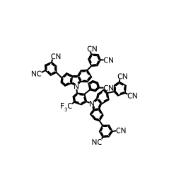 N#Cc1cc(C#N)cc(-c2ccc3c(c2)c2cc(-c4cc(C#N)cc(C#N)c4)ccc2n3-c2cc(C(F)(F)F)cc(-n3c4ccc(-c5cc(C#N)cc(C#N)c5)cc4c4cc(-c5cc(C#N)cc(C#N)c5)ccc43)c2-c2cccc(C#N)c2)c1